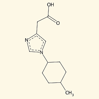 CC1CCC(n2cnc(CC(=O)O)c2)CC1